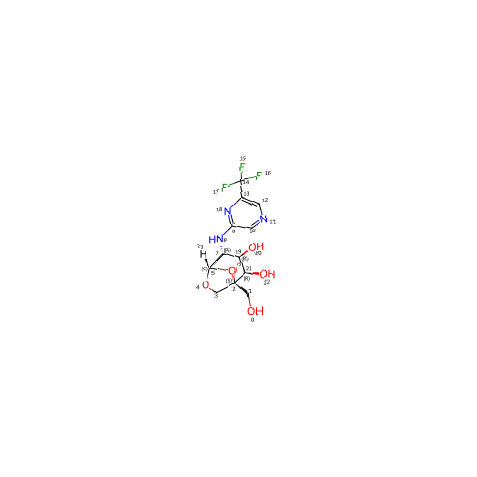 OC[C@@]12CO[C@@H](O1)[C@H](Nc1cncc(C(F)(F)F)n1)[C@@H](O)[C@H]2O